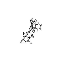 COS(=O)(=O)c1ccccc1S(=O)(=O)N=C(Nc1nc(C)cc(C)n1)SC